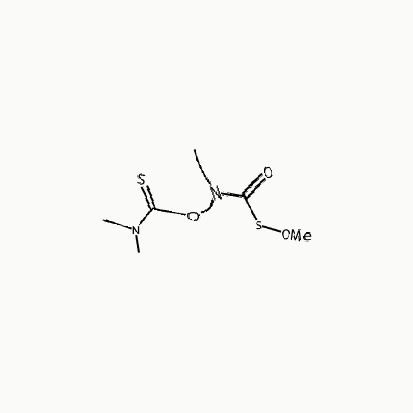 COSC(=O)N(C)OC(=S)N(C)C